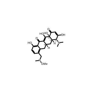 CON(C)Cc1ccc(O)c2c1C[C@H]1C[C@H]3[C@H](N(C)C)C(O)=CC(=O)[C@@]3(O)C(O)=C1C2=O